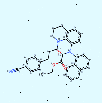 CCOC(=O)CN(c1cccc2c1N(C(=O)CCc1ccc(C#N)cc1)CCC2)c1cccc2ccccc12